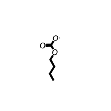 CCCCOC([O])=O